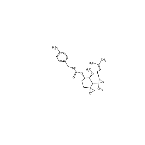 CO[C@H]1[C@H](C2(C)O[C@@H]2CC=C(C)C)[C@]2(CC[C@H]1OC(=O)NCc1ccc(N)cc1)CO2